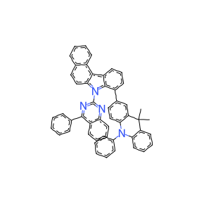 CC1(C)c2ccccc2N(c2ccccc2)c2ccc(-c3cccc4c5c6ccccc6ccc5n(-c5nc(-c6ccccc6)c6ccccc6n5)c34)cc21